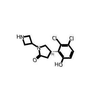 O=C1C[C@@H](c2c(O)ccc(Cl)c2Cl)CN1C1CNC1